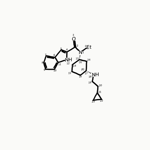 CCN(C(=O)c1cc2ccccc2[nH]1)[C@H]1CCC[C@@H](NCCC2CC2)C1